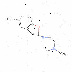 Cc1ccc2oc(N3CCN(C)CC3)cc2c1